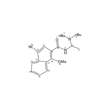 CCCCN(CCCC)C(C)NC(=O)c1cc(C#N)c2ccccc2c1OC